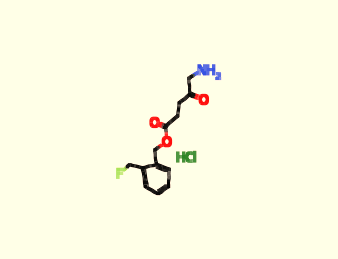 Cl.NCC(=O)CCC(=O)OCc1ccccc1CF